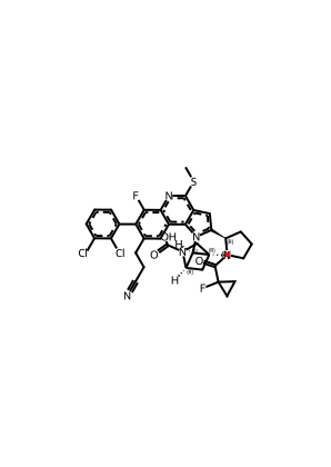 CSc1nc2c(F)c(-c3cccc(Cl)c3Cl)c(CCC#N)cc2c2c1cc([C@H]1CCCN1C(=O)C1(F)CC1)n2[C@H]1[C@@H]2C[C@H]1N(C(=O)O)C2